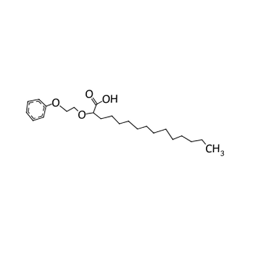 CCCCCCCCCCCCCC(OCCOc1ccccc1)C(=O)O